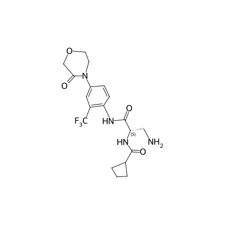 NC[C@H](NC(=O)C1CCC1)C(=O)Nc1ccc(N2CCOCC2=O)cc1C(F)(F)F